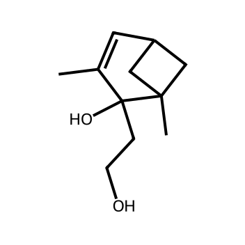 CC1=CC2CC(C)(C2)C1(O)CCO